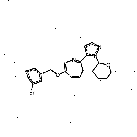 Brc1cccc(COC2=CN=C(c3ccnn3C3CCCCO3)CC=C2)c1